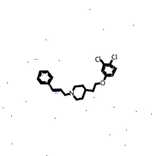 Clc1ccc(OCCC2CCN(C/C=C/c3ccccc3)CC2)cc1Cl